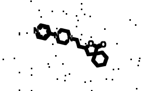 O=C1OC(CCN2CCN(c3ccncc3)CC2)CC12CCCCC2